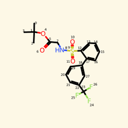 CC(C)(C)OC(=O)CNS(=O)(=O)c1ccccc1-c1cccc(C(F)(F)F)c1